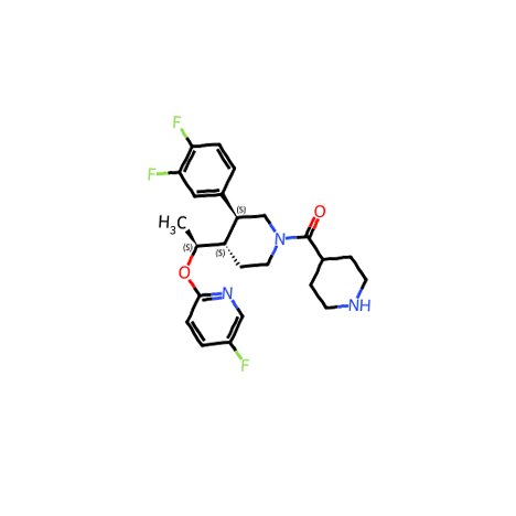 C[C@H](Oc1ccc(F)cn1)[C@H]1CCN(C(=O)C2CCNCC2)C[C@@H]1c1ccc(F)c(F)c1